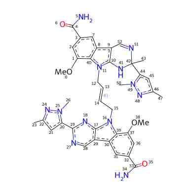 COc1cc(C(N)=O)cc2c3c(n(C/C=C/Cn4c5nc(-c6cc(C)nn6C)ncc5c5cc(C(N)=O)cc(OC)c54)c12)NC(C)(c1cc(C)nn1C)N=C3